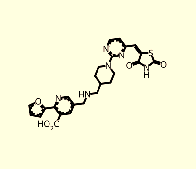 O=C1NC(=O)/C(=C\c2ccnc(N3CCC(CNCc4cnc(-c5ccco5)c(C(=O)O)c4)CC3)n2)S1